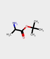 [CH2]C(N)C(=O)OC(C)(C)C